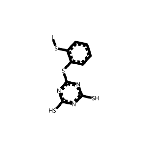 Sc1nc(S)nc(Sc2ccccc2SI)n1